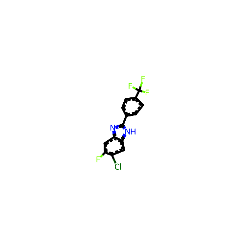 Fc1cc2nc(-c3ccc(C(F)(F)F)cc3)[nH]c2cc1Cl